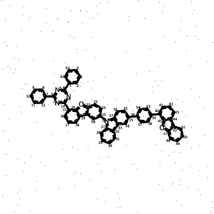 c1ccc(-c2nc(-c3ccccc3)nc(-c3cccc4c3oc3ccc(-n5c6ccccc6c6cc(-c7ccc(-c8cccc9c8oc8ccccc89)cc7)ccc65)cc34)n2)cc1